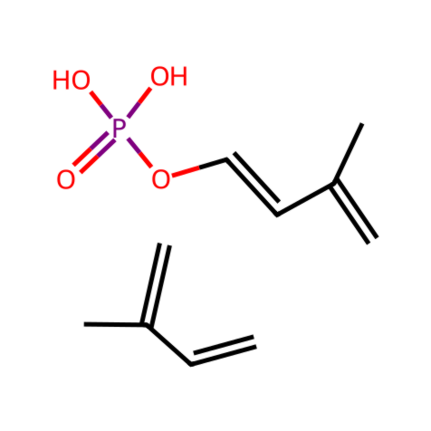 C=C(C)C=COP(=O)(O)O.C=CC(=C)C